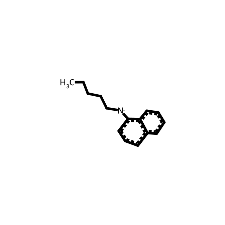 CCCCC[N]c1cccc2ccccc12